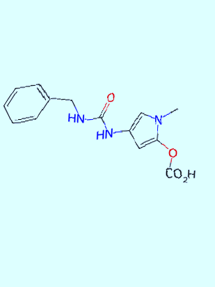 Cn1cc(NC(=O)NCc2ccccc2)cc1OC(=O)O